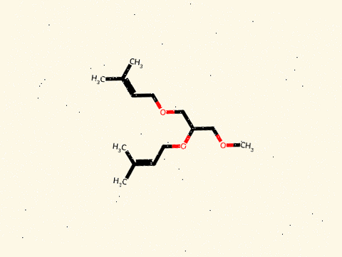 COCC(COCC=C(C)C)OCC=C(C)C